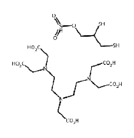 O=C(O)CN(CCN(CC(=O)O)CC(=O)O)CCN(CC(=O)O)CC(=O)O.O=[SH](=O)OCC(S)CS